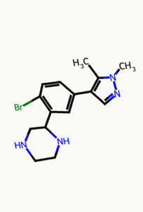 Cc1c(-c2ccc(Br)c(C3CNCCN3)c2)cnn1C